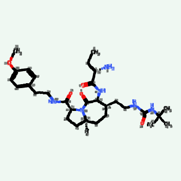 CC[C@H](N)C(=O)N[C@@H]1C(=O)N2[C@@H](CC[C@@H]1CCNC(=O)NC(C)(C)C)CC[C@H]2C(=O)NCCc1ccc(OC)cc1